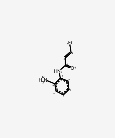 CC/C=C/C(=O)Nc1ccccc1N